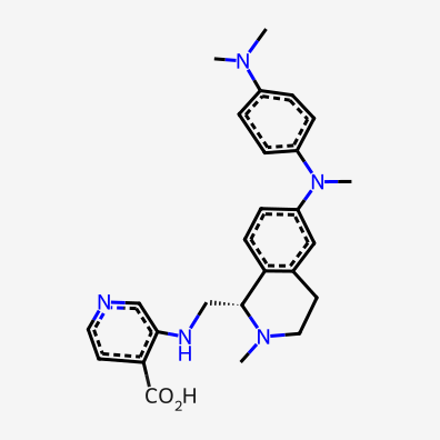 CN(C)c1ccc(N(C)c2ccc3c(c2)CCN(C)[C@@H]3CNc2cnccc2C(=O)O)cc1